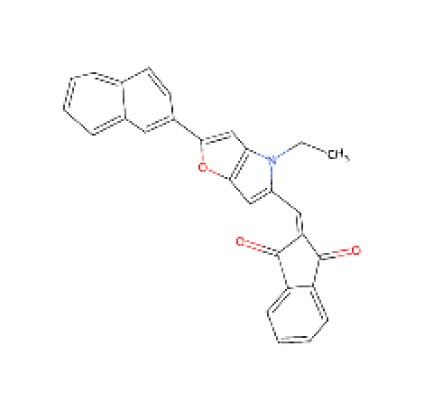 CCn1c(C=C2C(=O)c3ccccc3C2=O)cc2oc(-c3ccc4ccccc4c3)cc21